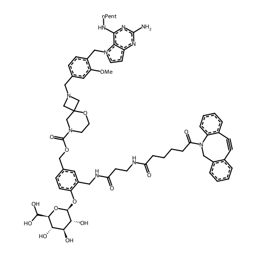 CCCCCNc1nc(N)nc2ccn(Cc3ccc(CN4CC5(C4)CN(C(=O)OCc4ccc(O[C@@H]6O[C@H](C(O)O)[C@@H](O)[C@H](O)[C@H]6O)c(CNC(=O)CCNC(=O)CCCCC(=O)N6Cc7ccccc7C#Cc7ccccc76)c4)CCO5)cc3OC)c12